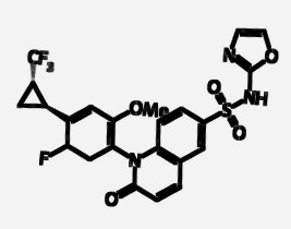 COC1=C(n2c(=O)ccc3cc(S(=O)(=O)Nc4ncco4)ccc32)CC(F)C([C@H]2C[C@@H]2C(F)(F)F)=C1